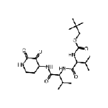 CC(C)C(NC(=O)OCC(C)(C)C)C(=O)NC(C(=O)NC1CCNC(=O)C1=O)C(C)C